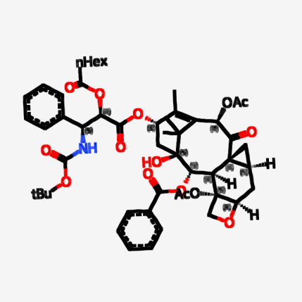 CCCCCCC(=O)O[C@@H](C(=O)O[C@H]1C[C@@]2(O)[C@@H](OC(=O)c3ccccc3)[C@@H]3[C@]4(OC(C)=O)CO[C@@H]4C[C@@H]4C[C@@]43C(=O)[C@H](OC(C)=O)C(=C1C)C2(C)C)[C@@H](NC(=O)OC(C)(C)C)c1ccccc1